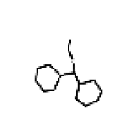 CCCC(C1CCCCC1)C1CCCCC1